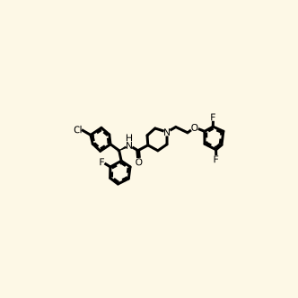 O=C(N[C@H](c1ccc(Cl)cc1)c1ccccc1F)C1CCN(CCOc2cc(F)ccc2F)CC1